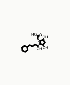 O=C(O)C[C@@H]1[C@H](C(O)CCCC2CCCCC2)[C@H](O)C[C@@H]1O